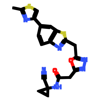 Cc1nc(-c2ccc3nc(Cc4nnc(CC(=O)NC5(C#N)CC5)o4)sc3c2)cs1